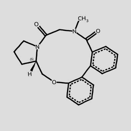 CN1CC(=O)N2CCC[C@H]2COc2ccccc2-c2ccccc2C1=O